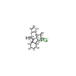 C=c1ccc2c(c1C1=CC=CC1)[C]([Hf+2])=c1ccccc1=2.[Cl-].[Cl-]